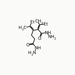 CCC(C)=C(CCC(=O)NN)C(C(=O)NN)=C(C)CC